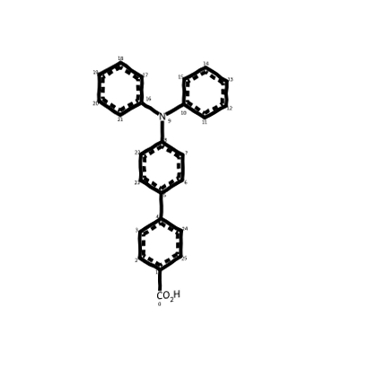 O=C(O)c1ccc(-c2ccc(N(c3ccccc3)c3ccccc3)cc2)cc1